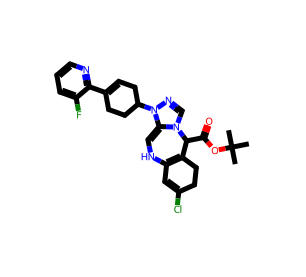 CC(C)(C)OC(=O)C1C2=C(C=C(Cl)CC2)NC=C2N1C=NN2C1CC=C(c2ncccc2F)CC1